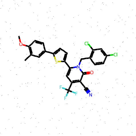 COc1ccc(-c2ccc(-c3cc(C(F)(F)F)c(C#N)c(=O)n3Cc3ccc(Cl)cc3Cl)s2)cc1C